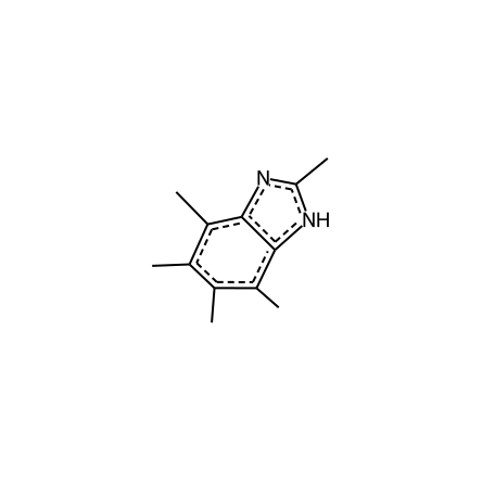 Cc1nc2c(C)c(C)c(C)c(C)c2[nH]1